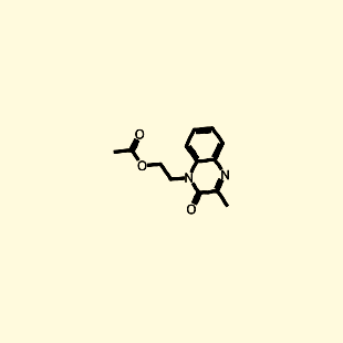 CC(=O)OCCn1c(=O)c(C)nc2ccccc21